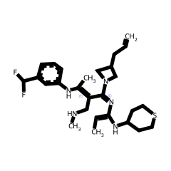 C=CCC1CN(C(=N/C(=CC)NC2CCSCC2)/C(CNC)=C(\C)Nc2cccc(C(F)F)c2)C1